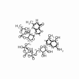 Cc1nc2c(ncn2[C@@H]2O[C@H](COP(=O)(O)OP(=O)(O)OP(=O)(O)OC[C@H]3O[C@@H](n4c[n+](C)c5c(O)nc(N)nc54)C(O)C3O)C(OP(=O)(O)OC(C)C)[C@@H]2O)c(=O)[nH]1